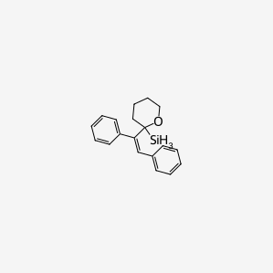 [SiH3]C1(C(=Cc2ccccc2)c2ccccc2)CCCCO1